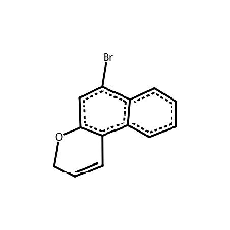 Brc1cc2c(c3ccccc13)C=CCO2